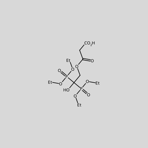 CCOP(=O)(OCC)C(O)(COC(=O)CC(=O)O)P(=O)(OCC)OCC